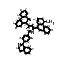 CC1CC=Cc2c(-c3cc(C4c5ccccc5-c5ccccc5C4C)nc(-c4ccc(-c5nccc6ccccc56)cc4)n3)cc3ccccc3c21